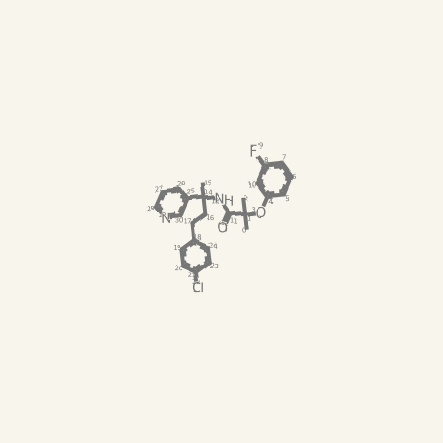 CC(C)(Oc1cccc(F)c1)C(=O)NC(C)(CCc1ccc(Cl)cc1)c1cccnc1